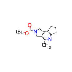 Cc1nc2c(c3c1CN(C(=O)OC(C)(C)C)C3)CCC2